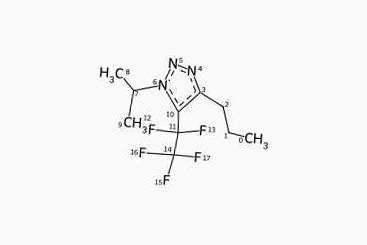 CCCc1nnn(C(C)C)c1C(F)(F)C(F)(F)F